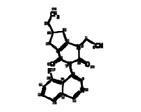 N#CCn1c2c(c(=O)n(-c3cncc4cccc(F)c34)c1=O)CC(CC(F)(F)F)C2